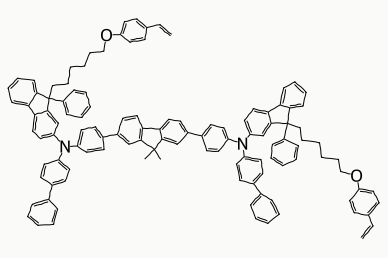 C=Cc1ccc(OCCCCCCC2(c3ccccc3)c3ccccc3-c3ccc(N(c4ccc(-c5ccccc5)cc4)c4ccc(-c5ccc6c(c5)C(C)(C)c5cc(-c7ccc(N(c8ccc(-c9ccccc9)cc8)c8ccc9c(c8)C(CCCCCCOc8ccc(C=C)cc8)(c8ccccc8)c8ccccc8-9)cc7)ccc5-6)cc4)cc32)cc1